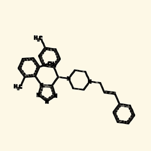 Cc1ccc(C(c2nnnn2-c2c(C)cccc2C)N2CCN(CC=Cc3ccccc3)CC2)cc1